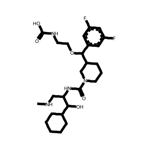 CNCC(NC(=O)N1CCCC(C(OCCNC(=O)O)c2cc(F)cc(F)c2)C1)C(O)C1CCCCC1